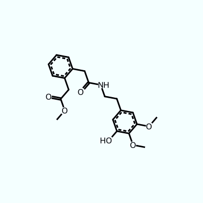 COC(=O)Cc1ccccc1CC(=O)NCCc1cc(O)c(OC)c(OC)c1